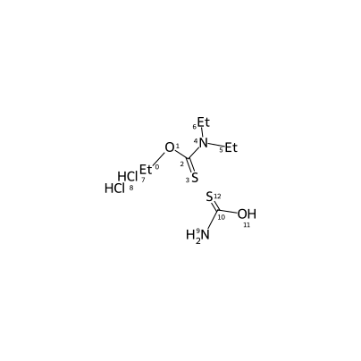 CCOC(=S)N(CC)CC.Cl.Cl.NC(O)=S